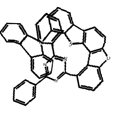 c1ccc(-c2nc(-c3ccccc3)nc(-c3cccc4oc5ccc6c7cccc(-n8c9ccccc9c9ccccc98)c7sc6c5c34)n2)cc1